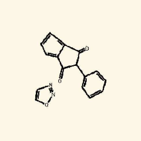 O=C1c2ccccc2C(=O)C1c1ccccc1.c1conn1